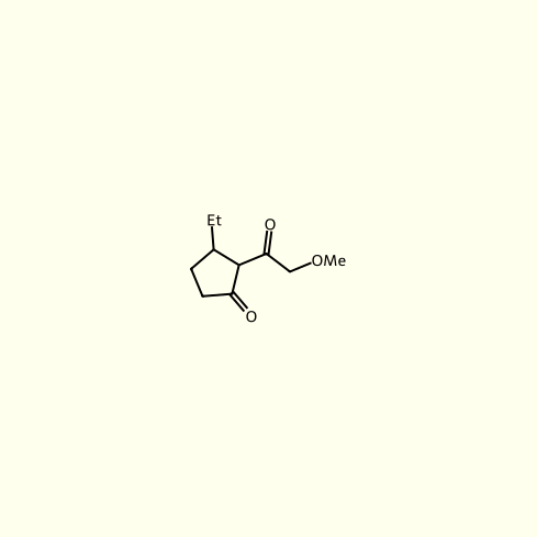 CCC1CCC(=O)C1C(=O)COC